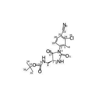 Cc1c(N2C(=O)N[C@@H](CNC(=O)OC(C)(C)C)C2=O)ccc(C#N)c1Cl